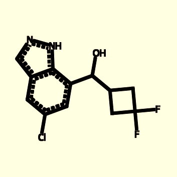 OC(c1cc(Cl)cc2cn[nH]c12)C1CC(F)(F)C1